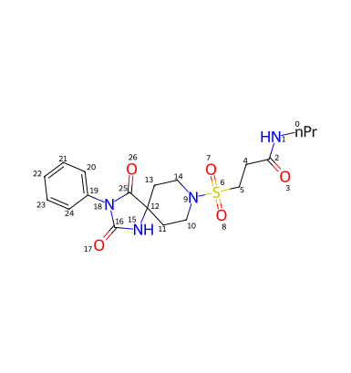 CCCNC(=O)CCS(=O)(=O)N1CCC2(CC1)NC(=O)N(c1ccccc1)C2=O